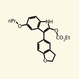 CCCOc1ccc2[nH]c(OC(=O)OCC)c(-c3ccc4c(c3)CCO4)c2c1